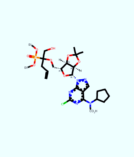 C=CCC(CO)(OC[C@H]1O[C@@H](n2ncc3c(N(C(=O)O)C4CCCC4)nc(Cl)nc32)[C@@H]2OC(C)(C)O[C@@H]21)P(=O)(OCC)OCC